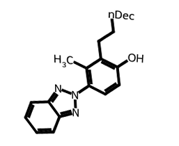 CCCCCCCCCCCCc1c(O)ccc(-n2nc3ccccc3n2)c1C